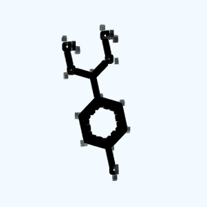 COC(OC)c1ccc(Cl)cc1